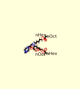 CCCCCCCCC(CCCCCC)C(=O)OCCCCCCN(CCCCCCOC(=O)C(CCCCCC)CCCCCCCC)CC(CN1CCN(C)CC1)OCCO